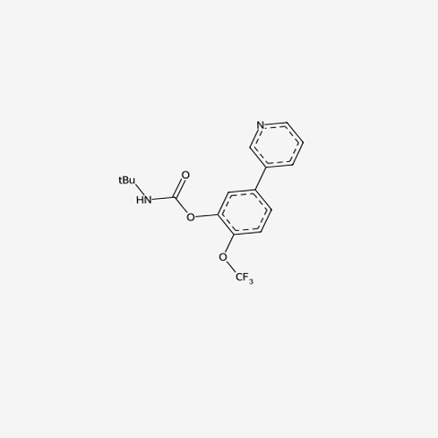 CC(C)(C)NC(=O)Oc1cc(-c2cccnc2)ccc1OC(F)(F)F